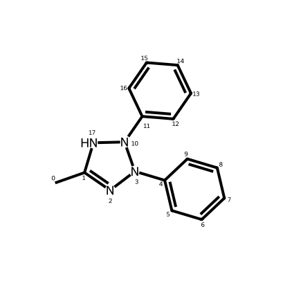 CC1=NN(c2ccccc2)N(c2ccccc2)N1